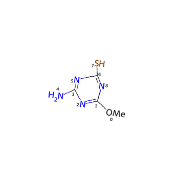 COc1nc(N)nc(S)n1